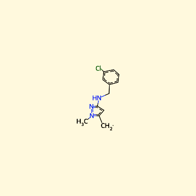 [CH2]c1cc(NCc2cccc(Cl)c2)nn1C